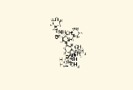 Cc1c(C(=O)NC2CC23CCOCC3)cc(-c2ccc(S(=O)(=O)NC(C)(C)C)c(C(C)(C)C)c2)n1CC1CCCCC1